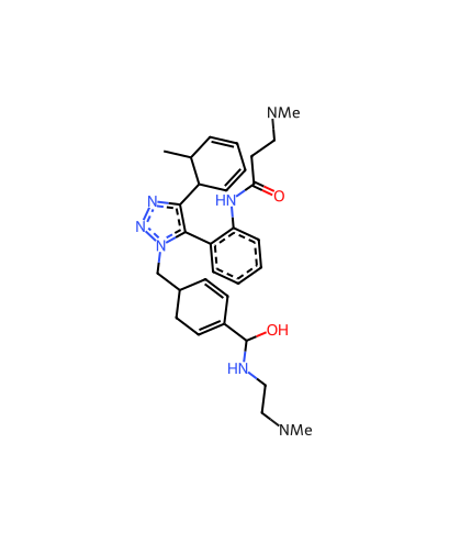 CNCCNC(O)C1=CCC(Cn2nnc(C3C=CC=CC3C)c2-c2ccccc2NC(=O)CCNC)C=C1